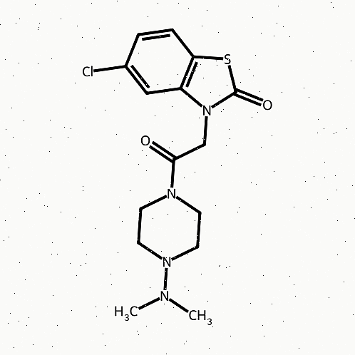 CN(C)N1CCN(C(=O)Cn2c(=O)sc3ccc(Cl)cc32)CC1